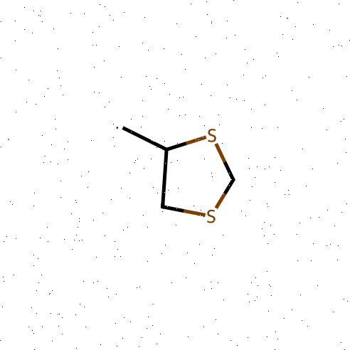 [CH2]C1CSCS1